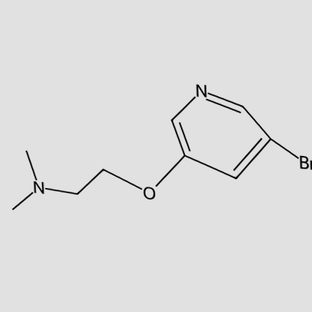 CN(C)CCOc1cncc(Br)c1